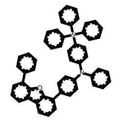 c1ccc(-c2cccc3c2oc2c(-c4ccc(N(c5ccccc5)c5ccc(S(c6ccccc6)(c6ccccc6)c6ccccc6)cc5)cc4)cccc23)cc1